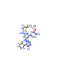 Cc1nc(Nc2nc(NCc3ccccc3-c3nnn[nH]3)cc(N3CCNC(=O)C3)n2)sc1C(=O)O